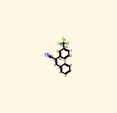 N#C/C(=C/c1ccccc1)c1cccc(C(F)(F)F)c1